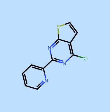 Clc1nc(-c2ccccn2)nc2sccc12